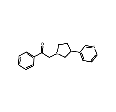 O=C(CN1CCC(c2cccnc2)C1)c1ccccc1